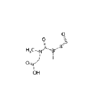 CN(CC(=O)O)C(=O)B(I)B=S=O